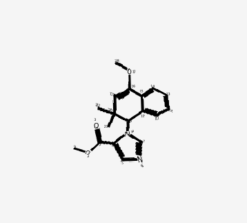 COC(=O)c1cncn1C1c2ccccc2C(OC)=CC1(C)C